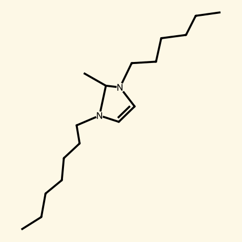 CCCCCCCN1C=CN(CCCCCC)C1C